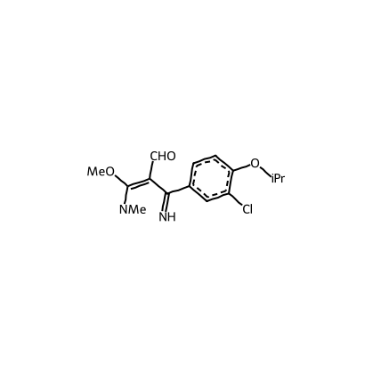 CN/C(OC)=C(/C=O)C(=N)c1ccc(OC(C)C)c(Cl)c1